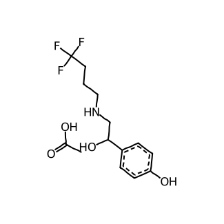 CC(=O)O.Oc1ccc(C(O)CNCCCC(F)(F)F)cc1